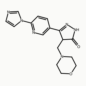 O=C1NN=C(c2ccc(-n3ccnc3)nc2)C1CN1CCOCC1